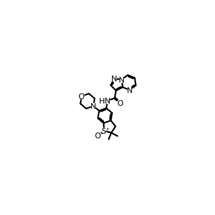 CC1(C)Cc2cc(NC(=O)c3cnn4cccnc34)c(N3CCOCC3)cc2[S+]1[O-]